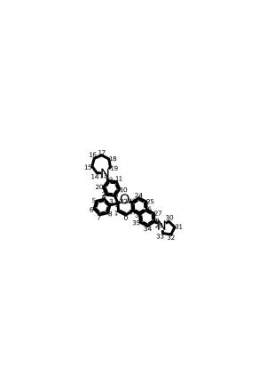 C1=CC(c2ccccc2)(c2ccc(N3CCCCCC3)cc2)Oc2ccc3cc(N4CCCC4)ccc3c21